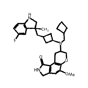 COc1cc2c(c3c1OCC(N(CC1CCC1)C1CC(CC4(C)CNc5ccc(F)cc54)C1)C3)C(=O)NC2